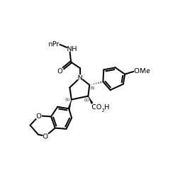 CCCNC(=O)CN1C[C@H](c2ccc3c(c2)OCCO3)[C@H](C(=O)O)[C@H]1c1ccc(OC)cc1